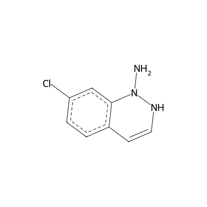 NN1NC=Cc2ccc(Cl)cc21